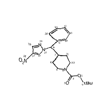 CC(C)(C)OC(=O)N1CCC(C(c2ccccc2)n2cc([N+](=O)[O-])cn2)CC1